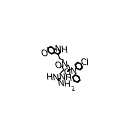 COc1ccc2[nH]cc(CCN(CC(=O)N(c3ccccc3)c3ccc(Cl)cc3)C(=O)CCNC(=N)N)c2c1